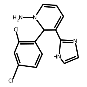 NN1C=CC=C(c2ncc[nH]2)C1c1ccc(Cl)cc1Cl